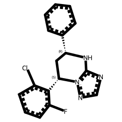 Fc1cccc(Cl)c1[C@@H]1C[C@H](c2ccccc2)Nc2ncnn21